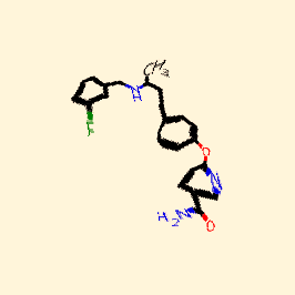 CC(CCc1ccc(Oc2ccc(C(N)=O)cn2)cc1)NCc1cccc(F)c1